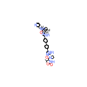 COC(=O)NC(C(=O)N1CCC[C@H]1c1ncc(-c2ccc(-c3ccc(-c4cnc([C@@H]5[C@H]6CC[C@H](CC6)[C@H]5C(=O)NCc5cccnc5)[nH]4)cc3)cc2)[nH]1)C(C)C